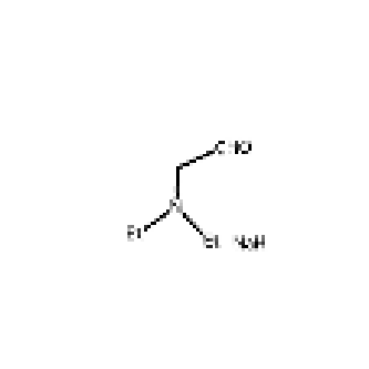 CCN(CC)CC=O.[NaH]